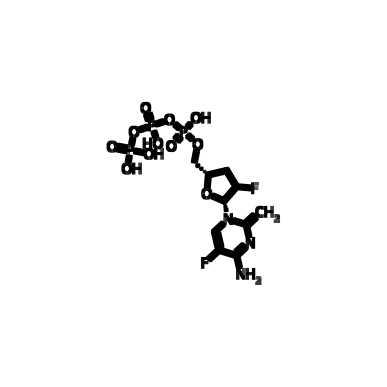 C=C1N=C(N)C(F)=CN1[C@@H]1O[C@H](COP(=O)(O)OP(=O)(O)OP(=O)(O)O)CC1F